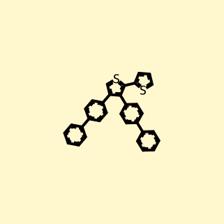 c1ccc(-c2ccc(-c3csc(-c4cccs4)c3-c3ccc(-c4ccccc4)cc3)cc2)cc1